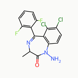 CC1N=C(c2c(F)cccc2F)c2c(ccc(Cl)c2Cl)N(N)C1=O